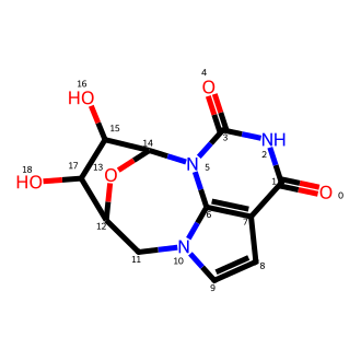 O=c1[nH]c(=O)n2c3c1ccn3CC1OC2C(O)C1O